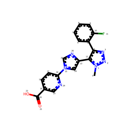 Cn1nnc(-c2ccccc2F)c1-c1cn(-c2ccc(C(=O)O)cn2)cn1